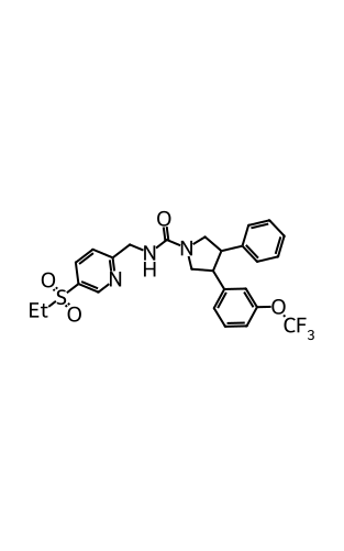 CCS(=O)(=O)c1ccc(CNC(=O)N2CC(c3ccccc3)C(c3cccc(OC(F)(F)F)c3)C2)nc1